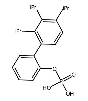 CC(C)c1ccc(-c2ccccc2OP(=O)(O)O)c(C(C)C)c1C(C)C